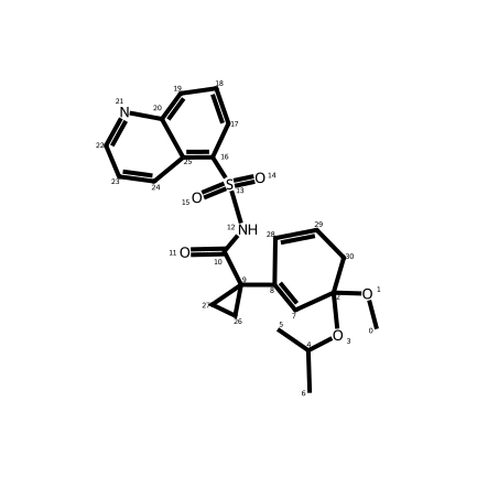 COC1(OC(C)C)C=C(C2(C(=O)NS(=O)(=O)c3cccc4ncccc34)CC2)C=CC1